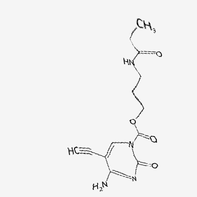 C#Cc1cn(C(=O)OCCCNC(=O)CC)c(=O)nc1N